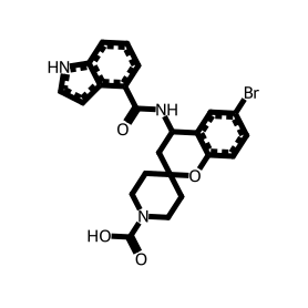 O=C(NC1CC2(CCN(C(=O)O)CC2)Oc2ccc(Br)cc21)c1cccc2[nH]ccc12